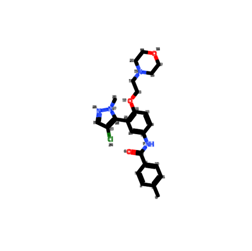 Cc1ccc(C(=O)Nc2ccc(OCCN3CCOCC3)c(-c3c(Cl)cnn3C)c2)cc1